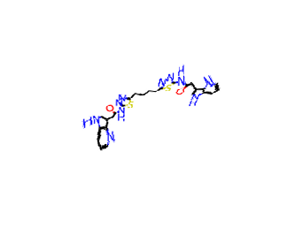 O=C(Cc1c[nH]c2cccnc12)Nc1nnc(CCCCc2nnc(NC(=O)Cc3c[nH]c4cccnc34)s2)s1